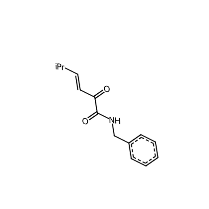 CC(C)C=CC(=O)C(=O)NCc1ccccc1